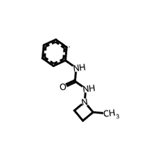 CC1CCN1NC(=O)Nc1[c]cccc1